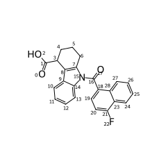 O=C(O)C1CCCc2c1c1ccccc1n2C(=O)c1ccc(F)c2ccccc12